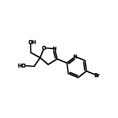 OCC1(CO)CC(c2ccc(Br)cn2)=NO1